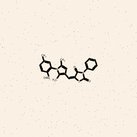 COc1ccc(C)cc1-n1c(C)cc(C=C2SC(=O)N(c3ccccc3)C2=O)c1C